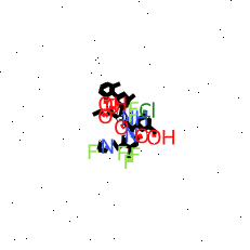 CCOC(=O)C[C@H](NC(=O)C(c1cc(CO)cc(Cl)c1F)n1cc(CCN2CC(F)C2)c(C(F)(F)F)cc1=O)c1cc(-c2c(C)cccc2O)cc(C)c1F